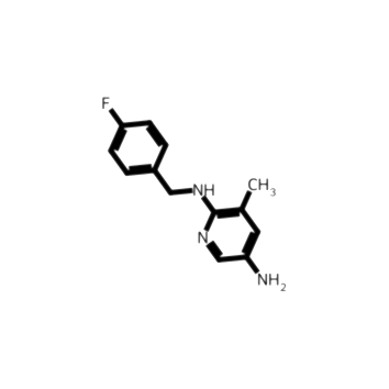 Cc1cc(N)cnc1NCc1ccc(F)cc1